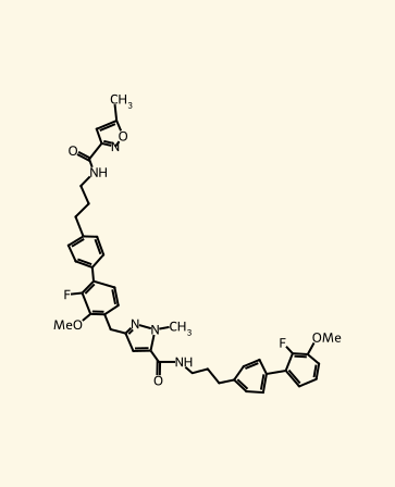 COc1cccc(-c2ccc(CCCNC(=O)c3cc(Cc4ccc(-c5ccc(CCCNC(=O)c6cc(C)on6)cc5)c(F)c4OC)nn3C)cc2)c1F